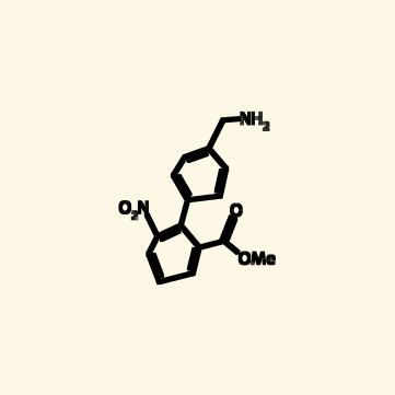 COC(=O)c1cccc([N+](=O)[O-])c1-c1ccc(CN)cc1